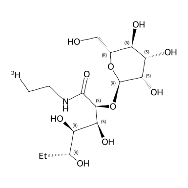 [2H]CCNC(=O)[C@@H](O[C@H]1O[C@H](CO)[C@@H](O)[C@H](O)[C@@H]1O)[C@@H](O)[C@H](O)[C@H](O)CC